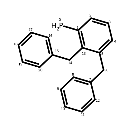 Pc1cccc(Cc2ccccc2)c1Cc1ccccc1